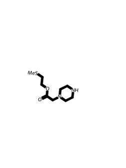 CSCCOC(=O)CN1CCNCC1